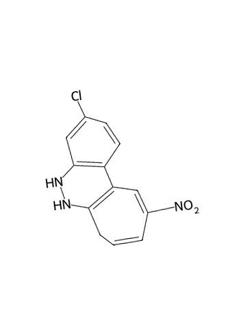 O=[N+]([O-])C1=CC2=C(CC=C1)NNc1cc(Cl)ccc12